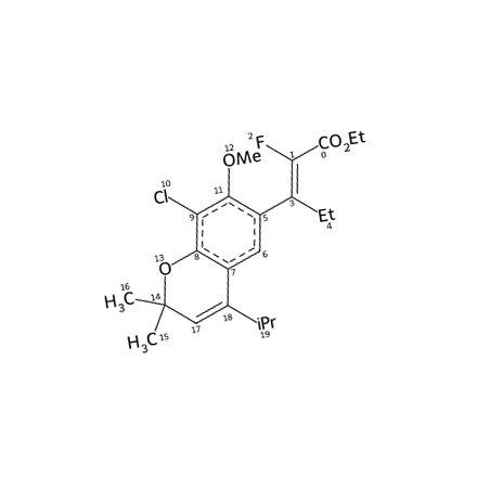 CCOC(=O)C(F)=C(CC)c1cc2c(c(Cl)c1OC)OC(C)(C)C=C2C(C)C